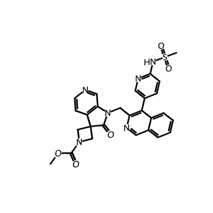 COC(=O)N1CC2(C1)C(=O)N(Cc1ncc3ccccc3c1-c1ccc(NS(C)(=O)=O)nc1)c1cnccc12